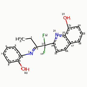 CC/C(=N\c1ccccc1O)C(F)(F)c1ccc2cccc(O)c2n1